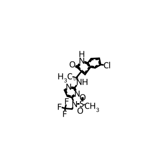 C[C@H](Nc1nccc(N(CC(F)(F)F)S(C)(=O)=O)n1)c1cc2cc(Cl)ccc2[nH]c1=O